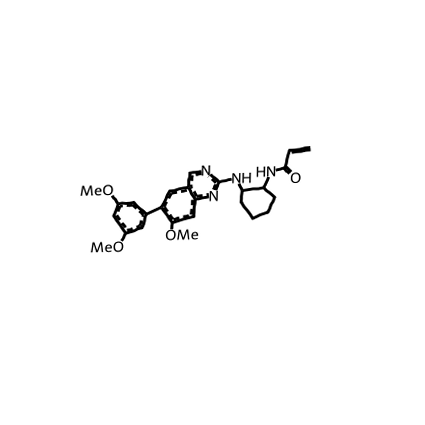 C=CC(=O)NC1CCCCC1Nc1ncc2cc(-c3cc(OC)cc(OC)c3)c(OC)cc2n1